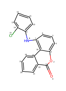 O=c1oc2cccc(Nc3ccccc3Cl)c2c2ccccc12